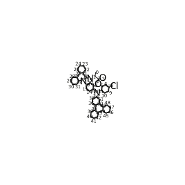 CCC(=O)Oc1cc(Cl)ccc1N(c1ccc2c(c1)nc1c3ccccc3c3ccccc3n21)c1ccc2c3ccccc3c3ccccc3c2c1